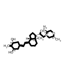 C=C1[C@H](O)CC(=CC=C2CCC[C@]3(C)[C@@H](C(C)CN4C[C@@H](C)OC[C@@H]4C)CC[C@@H]23)C[C@H]1O